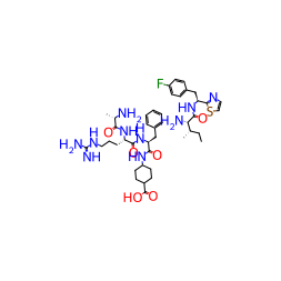 CC[C@H](C)[C@H](N)C(=O)N[C@@H](Cc1ccc(F)cc1)c1nccs1.C[C@H](N)C(=O)N[C@@H](CCCNC(=N)N)C(=O)N[C@@H](Cc1ccccc1)C(=O)NC1CCC(C(=O)O)CC1